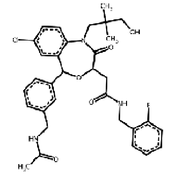 CC(=O)NCc1cccc(C2OC(CC(=O)NCc3ccccc3F)C(=O)N(CC(C)(C)CO)c3ccc(Cl)cc32)c1